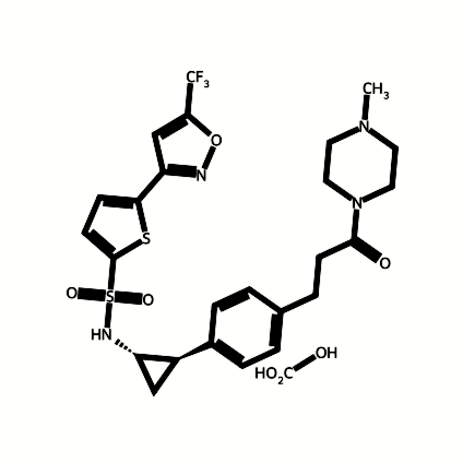 CN1CCN(C(=O)CCc2ccc([C@H]3C[C@@H]3NS(=O)(=O)c3ccc(-c4cc(C(F)(F)F)on4)s3)cc2)CC1.O=C(O)O